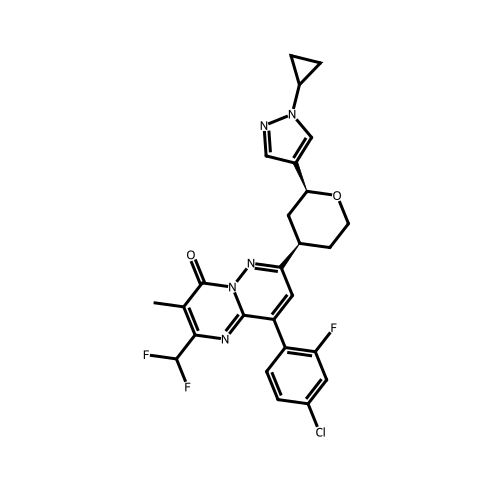 Cc1c(C(F)F)nc2c(-c3ccc(Cl)cc3F)cc([C@@H]3CCO[C@H](c4cnn(C5CC5)c4)C3)nn2c1=O